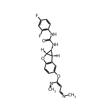 C=N/C(=C\C=N/C)Oc1ccc2c(c1)[C@H]1[C@H](NC(=O)Nc3ccc(F)cc3F)[C@H]1O2